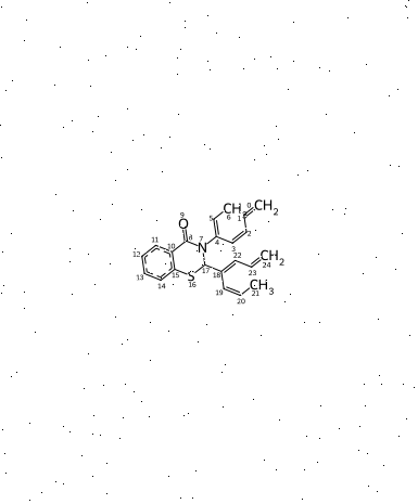 C=C/C=C\C(=C/C)N1C(=O)c2ccccc2SC1C(/C=C\C)=C/C=C